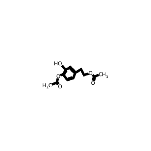 CC(=O)OCCc1ccc(OC(C)=O)c(O)c1